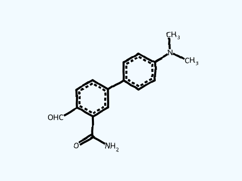 CN(C)c1ccc(-c2ccc(C=O)c(C(N)=O)c2)cc1